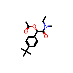 CCN(C)C(=O)C(OC(C)=O)c1ccc(C(C)(C)C)cc1